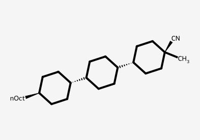 CCCCCCCC[C@H]1CC[C@H](C2CCC([C@H]3CC[C@](C)(C#N)CC3)CC2)CC1